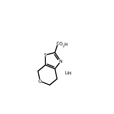 O=C(O)c1nc2c(s1)COCC2.[LiH]